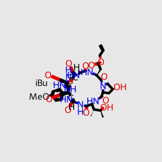 C=CCOC(=O)C[C@@H]1NC(=O)[C@H]2CSc3[nH]c4cc(OC)ccc4c3C[C@H](NC(=O)[C@@H]([C@@H](C)[C@H](C)O)NC(=O)C3C[C@@H](O)CN3C1=O)C(=O)NCC(=O)N[C@@H]([C@@H](C)CC)C(=O)NCC(=O)N2